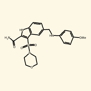 COc1ccc(NCc2ccc3[nH]c(C(N)=O)c(S(=O)(=O)N4CCOCC4)c3c2)cc1